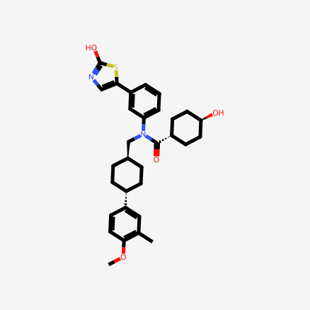 COc1ccc([C@H]2CC[C@H](CN(c3cccc(-c4cnc(O)s4)c3)C(=O)[C@H]3CC[C@H](O)CC3)CC2)cc1C